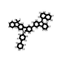 CC1(C)c2ccccc2-c2cc3c(cc21)c1cc(-c2ccc4c(c2)-c2ccccc2C4c2cccc4ccccc24)ccc1n3-c1ccc(-c2ccccc2)cc1